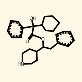 O=C(OC(Cc1ccccc1)C1CCNCC1)C(O)(c1ccccc1)C1CCCCC1